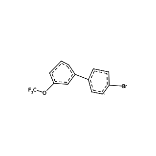 FC(F)(F)Oc1cccc(-c2c[c]c(Br)cc2)c1